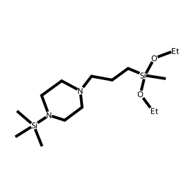 CCO[Si](C)(CCCN1CCN([Si](C)(C)C)CC1)OCC